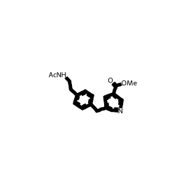 COC(=O)c1cncc(Cc2ccc(CCNC(C)=O)cc2)c1